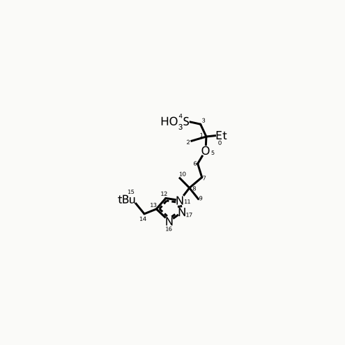 CCC(C)(CS(=O)(=O)O)OCCC(C)(C)n1cc(CC(C)(C)C)nn1